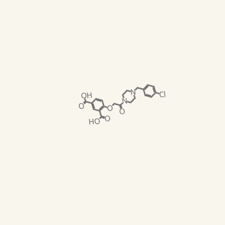 O=C(O)c1ccc(OCC(=O)N2CCN(Cc3ccc(Cl)cc3)CC2)c(C(=O)O)c1